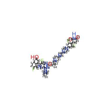 CCc1c(F)ccc2cc(O)cc(-c3ncc4c(N5CC6CCC(C5)N6)nc(OCC5(CN6CCC(N7CC(N8CCN(c9cc(F)c(C%10CCC(=O)NC%10=O)c(F)c9)CC8)C7)CC6)CC5)nc4c3F)c12